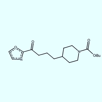 CC(C)COC(=O)N1CCC(CCCC(=O)c2ncco2)CC1